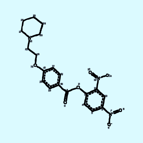 O=C(Oc1ccc([N+](=O)[O-])cc1[N+](=O)[O-])c1ccc(OCCN2CCCCC2)cc1